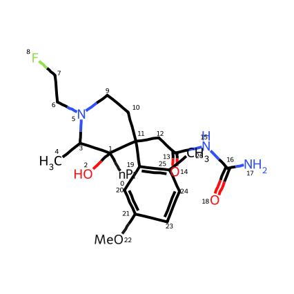 CCCC1(O)C(C)N(CCF)CCC1(CC(=O)NC(N)=O)c1cc(OC)ccc1C